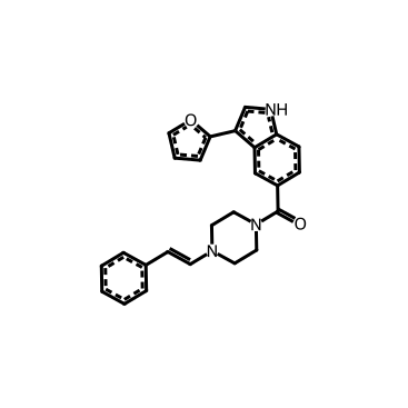 O=C(c1ccc2[nH]cc(-c3ccco3)c2c1)N1CCN(C=Cc2ccccc2)CC1